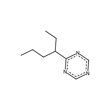 CCCC(CC)c1ncncn1